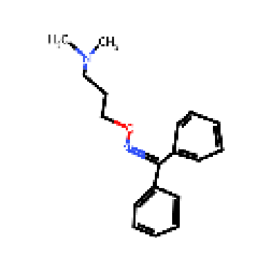 CN(C)CCCON=C(c1ccccc1)c1ccccc1